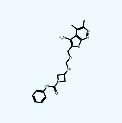 Cc1nnc2sc(COCNC3CN(C(=O)Nc4ccccc4)C3)c(N)c2c1C